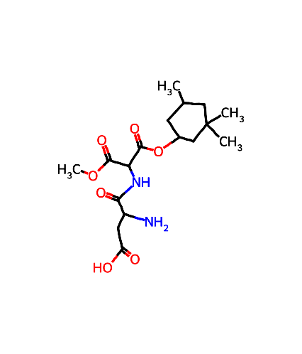 COC(=O)C(NC(=O)C(N)CC(=O)O)C(=O)OC1CC(C)CC(C)(C)C1